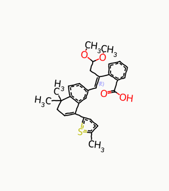 COC(C/C(=C\c1ccc2c(c1)C(c1ccc(C)s1)=CCC2(C)C)c1ccccc1C(=O)O)OC